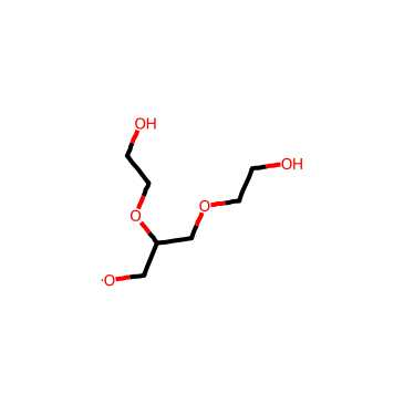 [O]CC(COCCO)OCCO